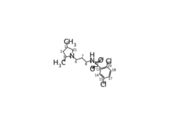 CC1CC(C)N(CCCNS(=O)(=O)c2cc(Cl)ccc2Cl)C1